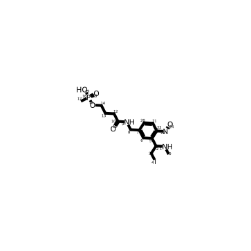 CNC(CI)c1cc(CNC(=O)CCCOP(C)(=O)O)ccc1N=O